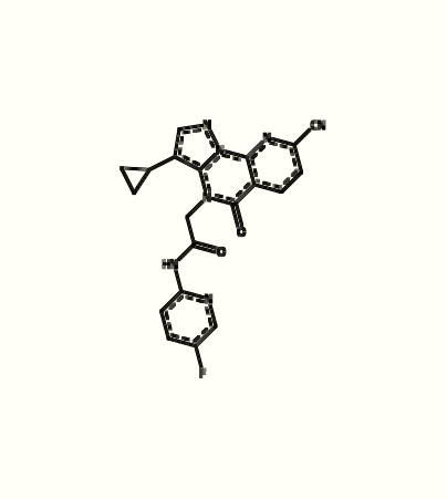 N#Cc1ccc2c(=O)n(CC(=O)Nc3ccc(F)cn3)c3c(C4CC4)cnn3c2n1